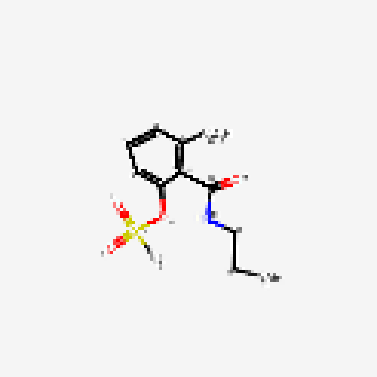 CCS(=O)(=O)Oc1cccc(C(=O)O)c1C(=O)NCCSC